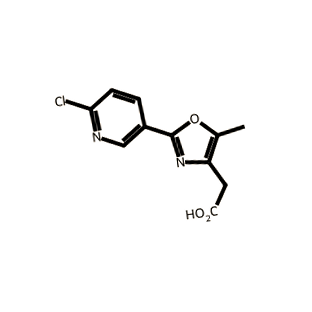 Cc1oc(-c2ccc(Cl)nc2)nc1CC(=O)O